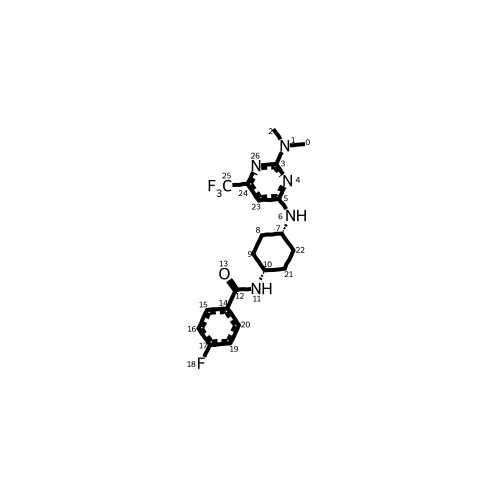 CN(C)c1nc(N[C@H]2CC[C@@H](NC(=O)c3ccc(F)cc3)CC2)cc(C(F)(F)F)n1